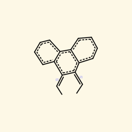 C/C=c1\c(=C/C)c2ccccc2c2ccccc12